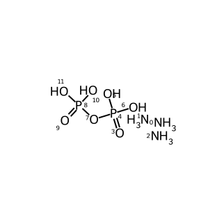 N.N.N.O=P(O)(O)OP(=O)(O)O